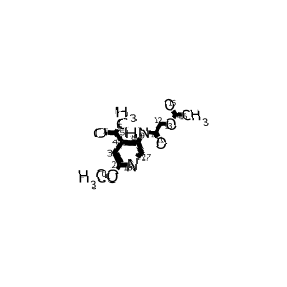 COc1cc(C(C)=O)c(NC(=O)COC(C)=O)cn1